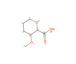 COC1CCCOC1C(=O)O